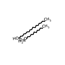 CCCCCCCCCCCCCCCCCC(=O)O.CCCCCCCCCCCCON